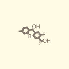 Cc1ccc(C(O)c2ccc([C@@H](C)O)c(F)c2)c(Br)c1